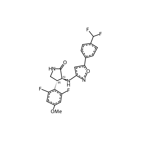 COc1cc(F)c([C@@H]2CNC(=O)[C@H]2Nc2cc(-c3ccc(C(F)F)cc3)on2)c(F)c1